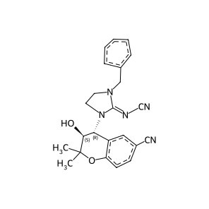 CC1(C)Oc2ccc(C#N)cc2[C@@H](N2CCN(Cc3ccccc3)C2=NC#N)[C@@H]1O